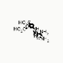 Nc1nc(N)c2nc(CNc3ccc(C(=O)O)c(OCC(=O)O)c3)cnc2n1